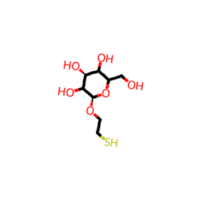 OCC1O[C@@H](OCCS)C(O)[C@@H](O)C1O